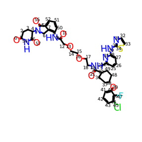 O=C1CCC(N2Cc3c(NC(=O)COCCOCCNC(=O)[C@]4(Cc5cccc(Nc6nccs6)n5)CC[C@@H](Oc5cccc(Cl)c5F)CC4)cccc3C2=O)C(=O)N1